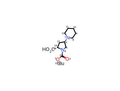 CC(C)(C)OC(=O)N1C[C@H](N2CCCCC2)C[C@H]1C(=O)O